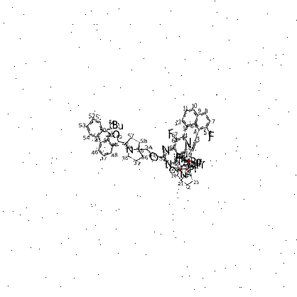 CC(C)[Si](C#Cc1c(F)ccc2cccc(-c3ncc4c(N5CC6CCC(C5)N6C(=O)OC(C)(C)C)nc(OCC56CCCN5C(CO[Si](c5ccccc5)(c5ccccc5)C(C)(C)C)CC6)nc4c3F)c12)(C(C)C)C(C)C